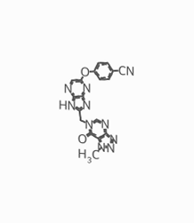 Cn1nnc2ncn(Cc3nc4nc(Oc5ccc(C#N)cc5)cnc4[nH]3)c(=O)c21